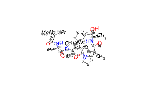 CC[C@H](C)[C@@H]([C@@H](CC(=O)N1CCCC1[C@H](OC)[C@@H](C)C(=O)N[C@H](C)[C@@H](O)c1ccccc1)OC)N(C)C(=O)C(NC(=O)C(NC)C(C)C)C(C)C